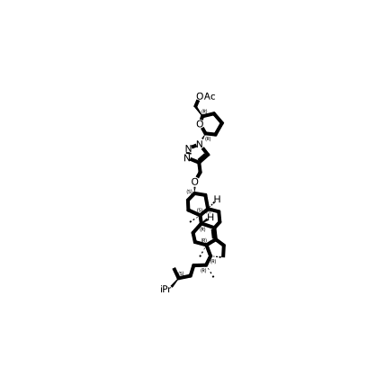 CC(=O)OC[C@H]1CCC[C@H](n2cc(CO[C@H]3CC[C@@]4(C)[C@H](CCC5=C6CC[C@H]([C@H](C)CC[C@H](C)C(C)C)[C@@]6(C)CC[C@@H]54)C3)nn2)O1